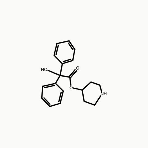 O=C(OC1CCNCC1)C(O)(c1ccccc1)c1ccccc1